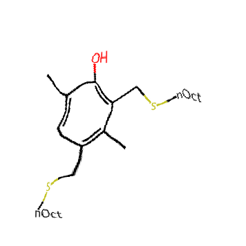 CCCCCCCCSCc1cc(C)c(O)c(CSCCCCCCCC)c1C